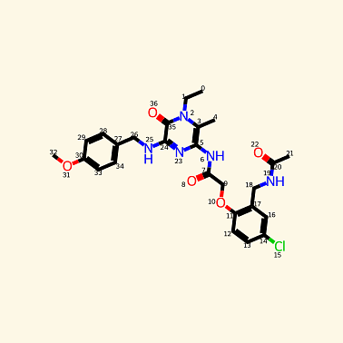 CCn1c(C)c(NC(=O)COc2ccc(Cl)cc2CNC(C)=O)nc(NCc2ccc(OC)cc2)c1=O